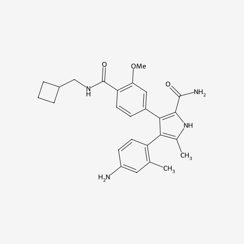 COc1cc(-c2c(C(N)=O)[nH]c(C)c2-c2ccc(N)cc2C)ccc1C(=O)NCC1CCC1